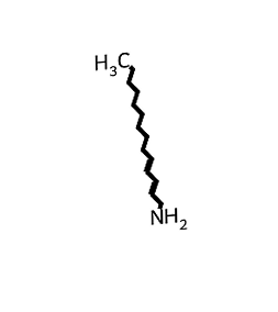 CCCCCCCCCC=CC=CCN